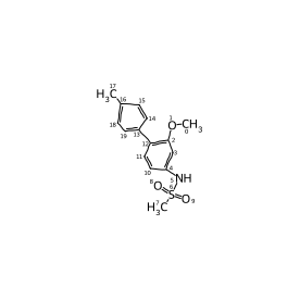 COc1cc(NS(C)(=O)=O)ccc1-c1ccc(C)cc1